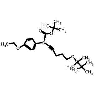 CCOc1ccc(N(C#CCCCO[Si](C)(C)C(C)(C)C)C(=O)OC(C)(C)C)cc1